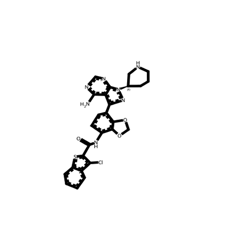 Nc1ncnc2c1c(-c1ccc(NC(=O)c3sc4ccccc4c3Cl)c3c1OCO3)nn2[C@@H]1CCCNC1